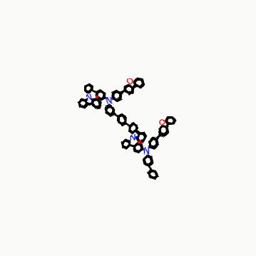 c1ccc(-c2ccc(N(c3ccc(-c4ccc5c(c4)oc4ccccc45)cc3)c3ccc(-c4ccccc4-n4c5ccccc5c5ccc(-c6ccc(-c7cccc(N(c8ccc(-c9ccc%10c(c9)oc9ccccc9%10)cc8)c8ccc(-c9ccccc9-n9c%10ccccc%10c%10ccccc%109)cc8)c7)cc6)cc54)cc3)cc2)cc1